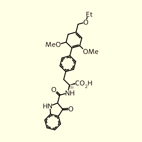 CCOCC1=CC(OC)=C(c2ccc(C[C@H](NC(=O)C3Nc4ccccc4C3=O)C(=O)O)cc2)C(OC)C1